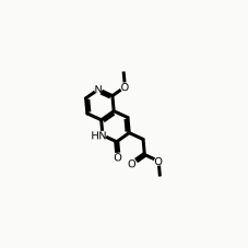 COC(=O)Cc1cc2c(OC)nccc2[nH]c1=O